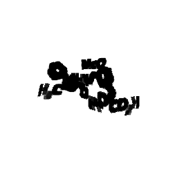 COc1ccc(CC(OC(C)C)C(=O)O)cc1CCNC(=O)c1cc(C)n(-c2ccccc2)n1